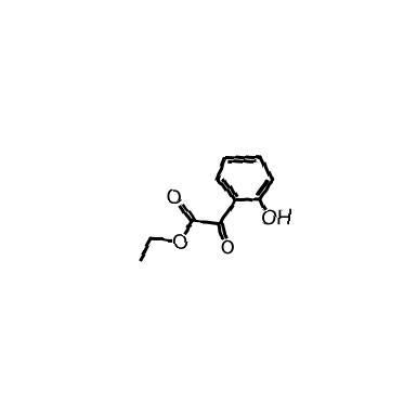 CCOC(=O)C(=O)c1ccccc1O